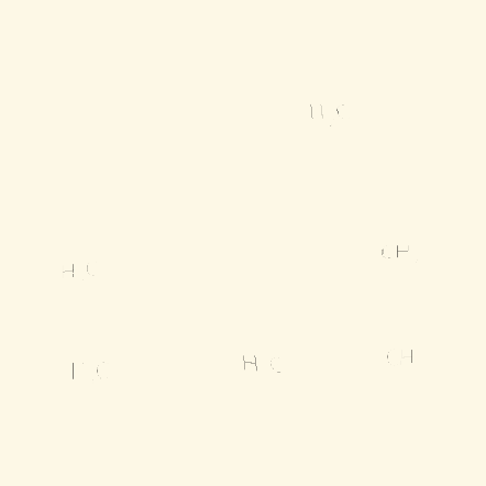 C=CC(C)CC(CC=C(C)C)=C(C)CC